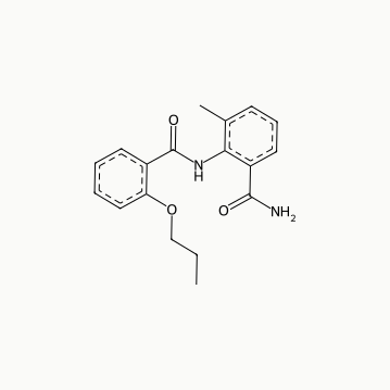 CCCOc1ccccc1C(=O)Nc1c(C)cccc1C(N)=O